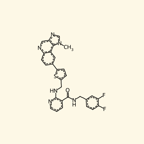 Cn1cnc2cnc3ccc(-c4ccc(CNc5ncccc5C(=O)NCc5ccc(F)c(F)c5)s4)cc3c21